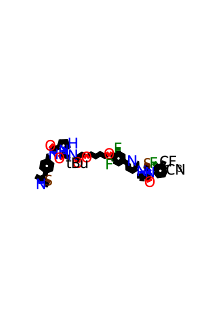 Cc1ncsc1-c1ccc(CNC(=O)C2CCCN2C(=O)C(NC(=O)COCCCCOc2c(F)cc(-c3ccc(N4C(=S)N(c5ccc(C#N)c(C(F)(F)F)c5F)C(=O)C4(C)C)cn3)cc2F)C(C)(C)C)cc1